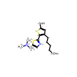 CCCCCCCCCCCCCCc1c[c]([SnH])sc1-c1nccs1.CN(C)C